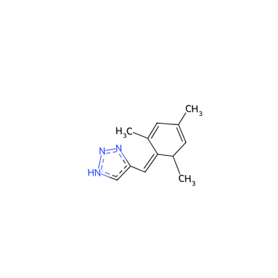 CC1=CC(C)C(=Cc2c[nH]nn2)C(C)=C1